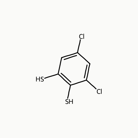 Sc1cc(Cl)cc(Cl)c1S